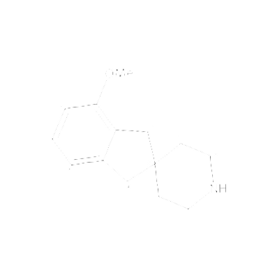 COc1cccc2c1CC1(CCNCC1)C2